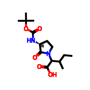 CCC(C)C(C(=O)O)N1CC[C@@H](NC(=O)OC(C)(C)C)C1=O